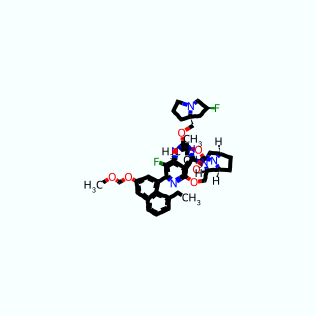 CCc1cccc2cc(OCOC)cc(-c3nc4c5c(nc(OC[C@]67CCCN6C[C@@H](F)C7)nc5c3F)N3C[C@H]5CC[C@@H]([C@@H]3CO4)N5C(=O)OC(C)(C)C)c12